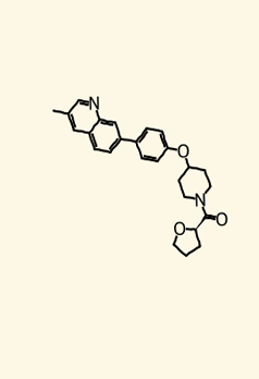 Cc1cnc2cc(-c3ccc(OC4CCN(C(=O)[C@H]5CCCO5)CC4)cc3)ccc2c1